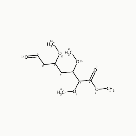 COC(=O)C(OC)C(CC(CC=O)OC)OC